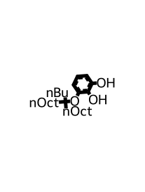 CCCCCCCCC(CCCC)(CCCCCCCC)Oc1cccc(O)c1O